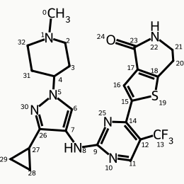 CN1CCC(n2cc(Nc3ncc(C(F)(F)F)c(-c4cc5c(s4)CCNC5=O)n3)c(C3CC3)n2)CC1